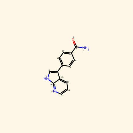 NC(=O)c1ccc(-c2c[nH]c3ncccc23)cc1